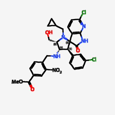 COC(=O)c1ccc(CN[C@@H]2[C@H](CO)N(CC3CC3)[C@@]3(C(=O)Nc4nc(Cl)ccc43)[C@H]2c2cccc(Cl)c2)c([N+](=O)[O-])c1